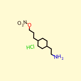 Cl.NCCC1CCC(CCCO[N+](=O)[O-])CC1